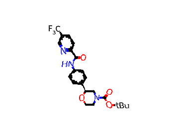 CC(C)(C)OC(=O)N1CCO[C@@H](c2ccc(NC(=O)c3ccc(C(F)(F)F)cn3)cc2)C1